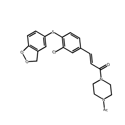 CC(=O)N1CCN(C(=O)C=Cc2ccc(Sc3ccc4c(c3)COO4)c(Cl)c2)CC1